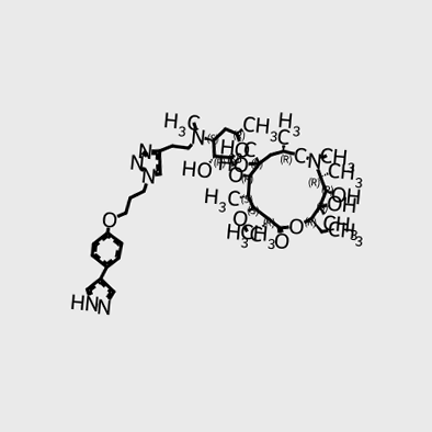 CC[C@H]1OC(=O)[C@H](C)[C@@H](OC)[C@H](C)[C@@H](O[C@@H]2O[C@H](C)C[C@H](N(C)CCc3cn(CCCOc4ccc(-c5cn[nH]c5)cc4)nn3)[C@H]2O)[C@](C)(O)C[C@@H](C)CN(C)[C@H](C)[C@@H](O)[C@]1(C)O